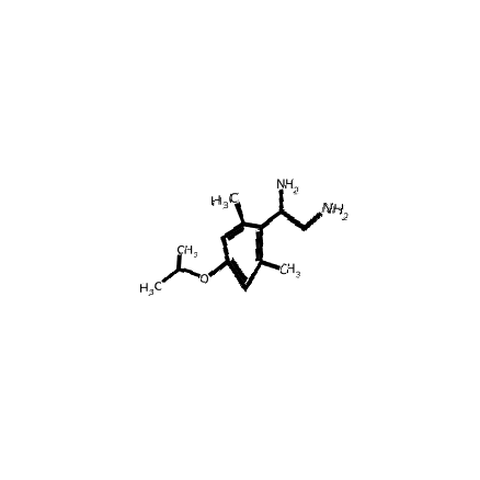 Cc1cc(OC(C)C)cc(C)c1C(N)CN